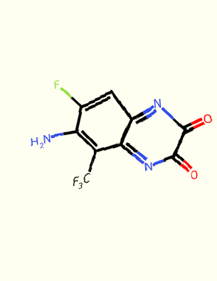 Nc1c(F)cc2c(c1C(F)(F)F)=NC(=O)C(=O)N=2